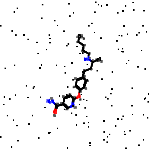 CCCCCNC(C)CCc1ccc(Oc2ccc(C(N)=O)cn2)cc1